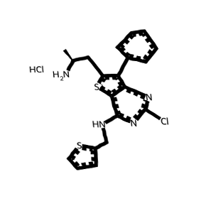 C[C@H](N)Cc1sc2c(NCc3cccs3)nc(Cl)nc2c1-c1ccccc1.Cl